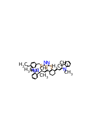 C=Cc1ccc(CSc2nnc(SC3=C(/C=C/C(C)C(C)(C)c4ccccc4NC)CCC/C3=C\C=C3\N(C)c4ccccc4C3(C)C)s2)cc1